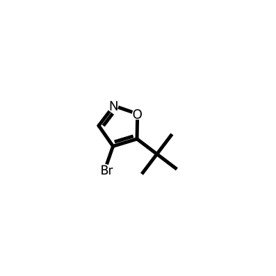 CC(C)(C)c1oncc1Br